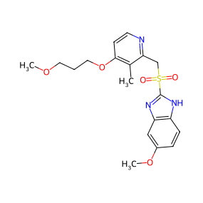 COCCCOc1ccnc(CS(=O)(=O)c2nc3cc(OC)ccc3[nH]2)c1C